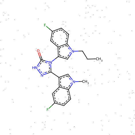 C[CH]Cn1cc(-n2c(-c3cn(C)c4ccc(F)cc34)n[nH]c2=O)c2cc(F)ccc21